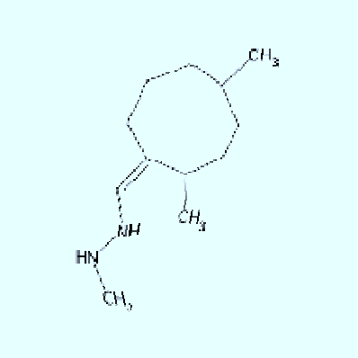 CNN/C=C1/CCCC(C)CCC1C